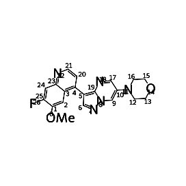 COc1cc2c(-c3cnn4cc(N5CCOCC5)cnc34)ccnc2cc1F